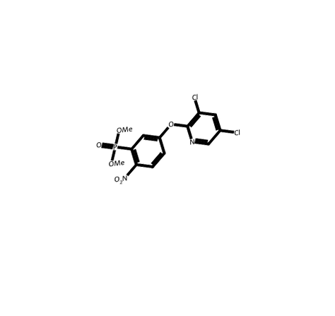 COP(=O)(OC)c1cc(Oc2ncc(Cl)cc2Cl)ccc1[N+](=O)[O-]